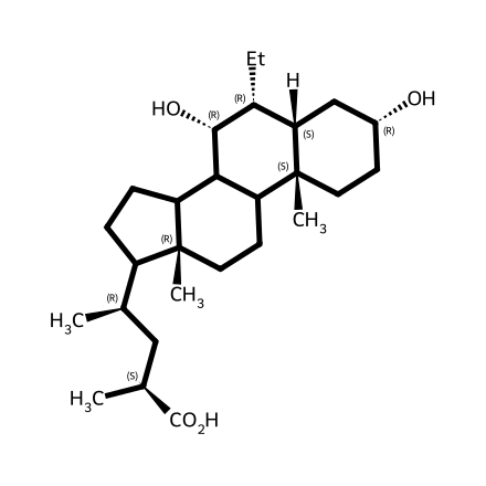 CC[C@H]1[C@@H](O)C2C3CCC([C@H](C)C[C@H](C)C(=O)O)[C@@]3(C)CCC2[C@@]2(C)CC[C@@H](O)C[C@@H]12